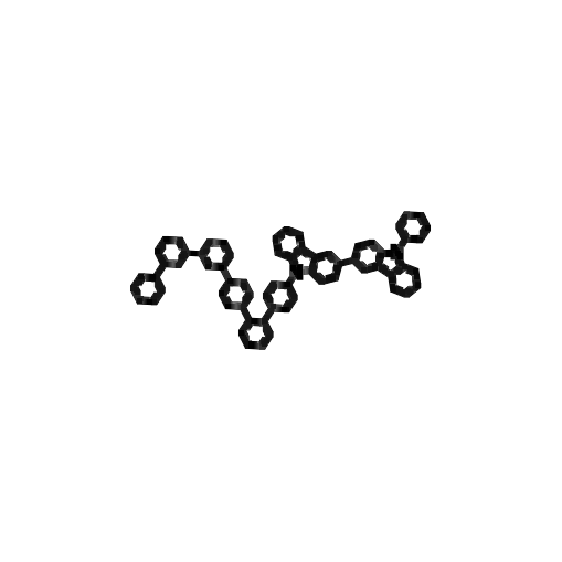 c1ccc(-c2cccc(-c3cccc(-c4ccc(-c5ccccc5-c5ccc(-n6c7ccccc7c7cc(-c8ccc9c(c8)c8ccccc8n9-c8ccccc8)ccc76)cc5)cc4)c3)c2)cc1